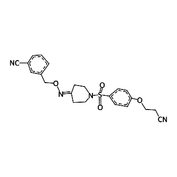 N#CCCOc1ccc(S(=O)(=O)N2CCC(=NOCc3cccc(C#N)c3)CC2)cc1